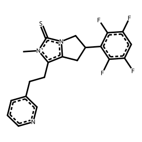 Cn1c(CCc2cccnc2)c2n(c1=S)CC(c1c(F)c(F)cc(F)c1F)C2